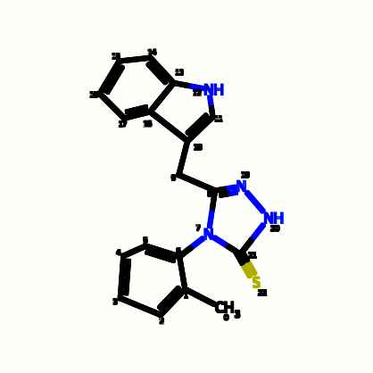 Cc1ccccc1-n1c(Cc2c[nH]c3ccccc23)n[nH]c1=S